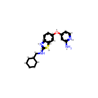 Nc1cc(Oc2ccc3nc(NCC4CCCCC4)sc3c2)ccn1